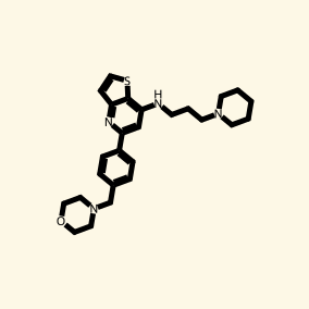 c1cc2nc(-c3ccc(CN4CCOCC4)cc3)cc(NCCCN3CCCCC3)c2s1